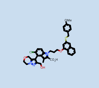 COc1ccc(CSc2cc(OCCCn3c(C(=O)O)c(C)c4c(-c5c(CO)nn6c5COCC6)c(Cl)ccc43)c3ccccc3c2)cc1